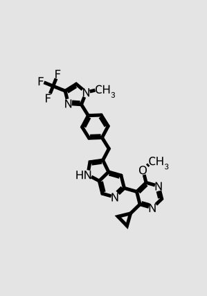 COc1ncnc(C2CC2)c1-c1cc2c(Cc3ccc(-c4nc(C(F)(F)F)cn4C)cc3)c[nH]c2cn1